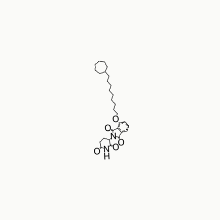 O=C1CCC(N2C(=O)c3cccc(OCCCCCCCCCC4CCCCCC4)c3C2=O)C(=O)N1